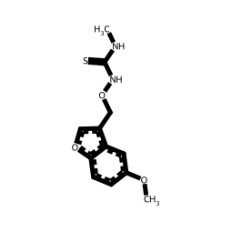 CNC(=S)NOCc1coc2ccc(OC)cc12